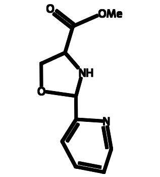 COC(=O)C1COC(c2ccccn2)N1